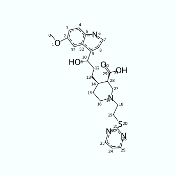 COc1ccc2nccc(C(O)CC[C@@H]3CCN(CCSc4ncccn4)C[C@@H]3C(=O)O)c2c1